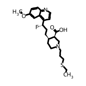 CCSCCCN1CC[C@@H](CC[C@H](F)c2ccnc3ccc(OC)cc23)[C@@H](C(=O)O)C1